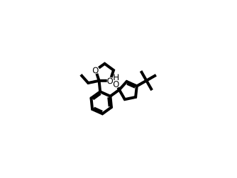 CCC1(c2ccccc2C2(O)C=C(C(C)(C)C)CC2)OCCO1